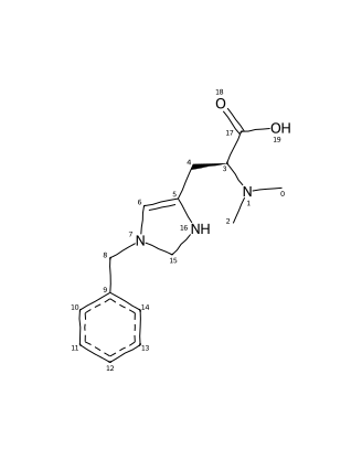 CN(C)[C@@H](CC1=CN(Cc2ccccc2)CN1)C(=O)O